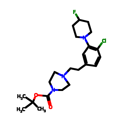 CC(C)(C)OC(=O)N1CCN(CCc2ccc(Cl)c(N3CCC(F)CC3)c2)CC1